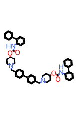 O=C(Nc1ccccc1-c1ccccc1)OC1CCN(Cc2ccc(-c3ccc(CN4CCC(OC(=O)Nc5ccccc5-c5ccccc5)CC4)cc3)cc2)CC1